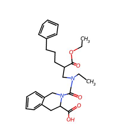 CCOC(=O)C(CCCc1ccccc1)CN(CC)C(=O)N1Cc2ccccc2CC1C(=O)O